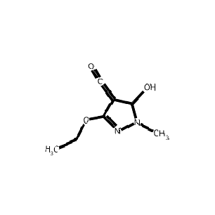 CCOC1=NN(C)C(O)C1=C=O